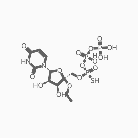 CCO[C@]1(COP(=O)(S)OP(=O)(O)OP(=O)(O)O)O[C@@H](n2ccc(=O)[nH]c2=O)[C@H](O)[C@@H]1O